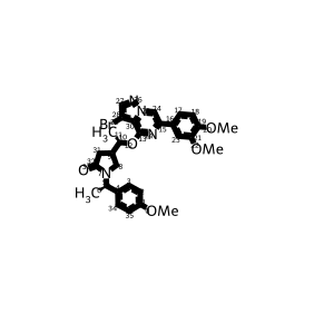 COc1ccc([C@@H](C)N2CC([C@@H](C)Oc3nc(-c4ccc(OC)c(OC)c4)cn4ncc(Br)c34)CC2=O)cc1